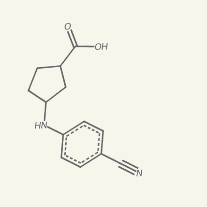 N#Cc1ccc(NC2CCC(C(=O)O)C2)cc1